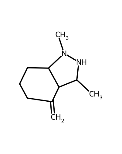 C=C1CCCC2C1C(C)NN2C